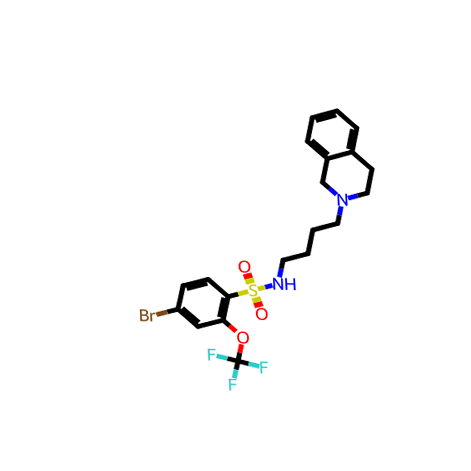 O=S(=O)(NCCCCN1CCc2ccccc2C1)c1ccc(Br)cc1OC(F)(F)F